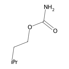 CC(C)CCOC(N)=O